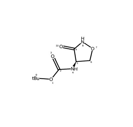 CC(C)(C)OC(=O)N[C@@H]1CONC1=O